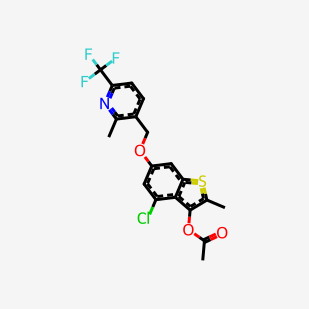 CC(=O)Oc1c(C)sc2cc(OCc3ccc(C(F)(F)F)nc3C)cc(Cl)c12